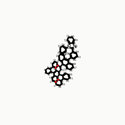 c1ccc(-c2ccccc2-c2c3ccccc3c(-c3ccccc3-c3ccccc3)c3cc(-c4c5ccccc5c(-c5cccc(-c6nc7ccccc7n6-c6ccccc6)c5)c5ccccc45)ccc23)cc1